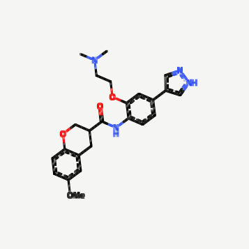 COc1ccc2c(c1)CC(C(=O)Nc1ccc(-c3cn[nH]c3)cc1OCCN(C)C)CO2